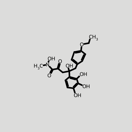 CCOc1ccc(CC(O)(CC(=O)C(=O)N(C)O)c2ccc(O)c(O)c2O)cc1